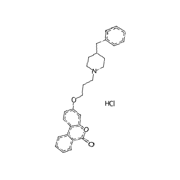 Cl.O=c1oc2cc(OCCCN3CCC(Cc4ccccc4)CC3)ccc2c2ccccc12